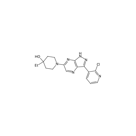 CCC1(O)CCN(c2cnc3c(-c4cccnc4Cl)n[nH]c3n2)CC1